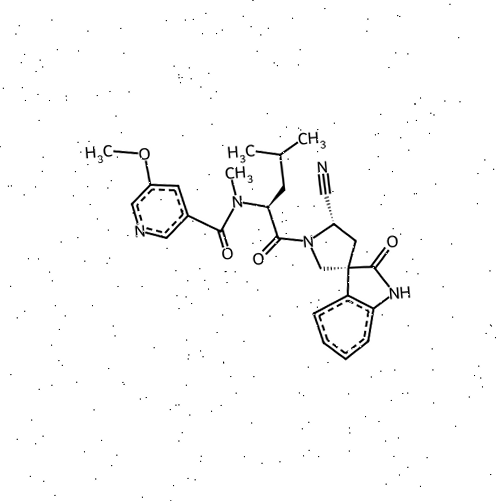 COc1cncc(C(=O)N(C)[C@@H](CC(C)C)C(=O)N2C[C@]3(C[C@H]2C#N)C(=O)Nc2ccccc23)c1